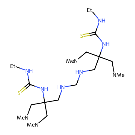 CCNC(=S)NC(CNC)(CNC)CNCNCC(CNC)(CNC)NC(=S)NCC